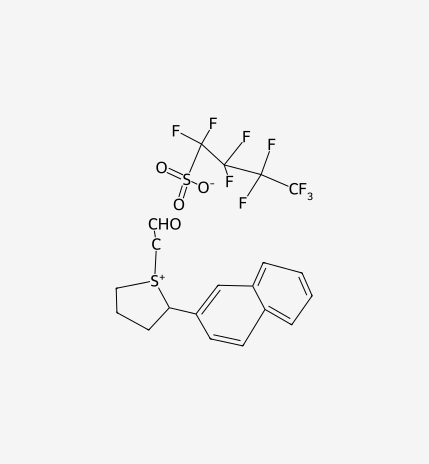 O=CC[S+]1CCCC1c1ccc2ccccc2c1.O=S(=O)([O-])C(F)(F)C(F)(F)C(F)(F)C(F)(F)F